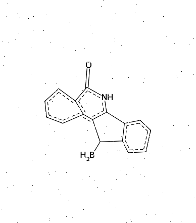 BC1c2ccccc2-c2[nH]c(=O)c3ccccc3c21